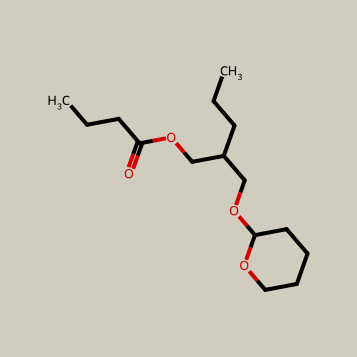 CCCC(=O)OCC(CCC)COC1CCCCO1